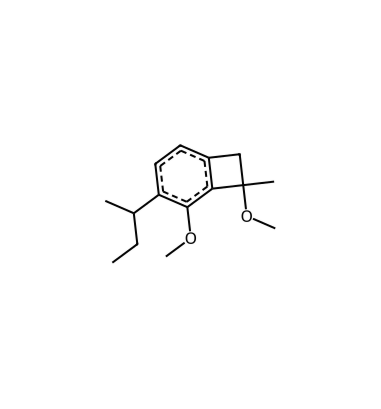 CCC(C)c1ccc2c(c1OC)C(C)(OC)C2